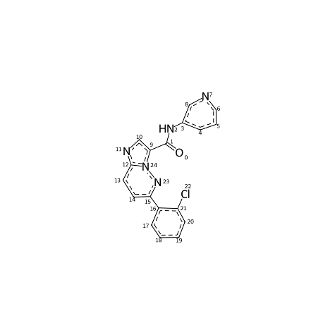 O=C(Nc1cccnc1)c1cnc2ccc(-c3ccccc3Cl)nn12